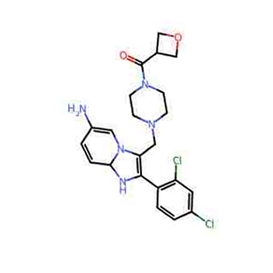 NC1=CN2C(CN3CCN(C(=O)C4COC4)CC3)=C(c3ccc(Cl)cc3Cl)NC2C=C1